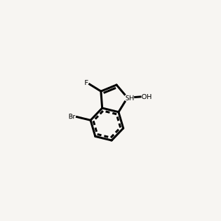 O[SH]1C=C(F)c2c(Br)cccc21